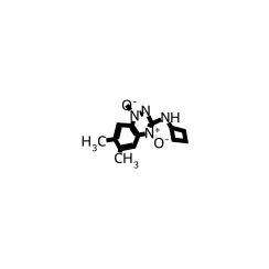 Cc1cc2c(cc1C)[n+]([O-])c(NC1CCC1)n[n+]2[O-]